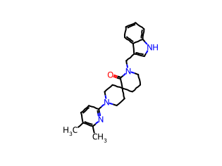 Cc1ccc(N2CCC3(CCCN(Cc4c[nH]c5ccccc45)C3=O)CC2)nc1C